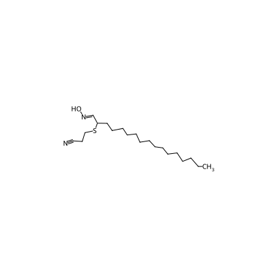 CCCCCCCCCCCCCCCC(C=NO)SCCC#N